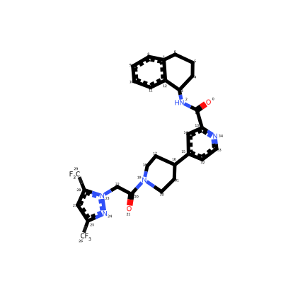 O=C(NC1CCCc2ccccc21)c1cc(C2CCN(C(=O)Cn3nc(C(F)(F)F)cc3C(F)(F)F)CC2)ccn1